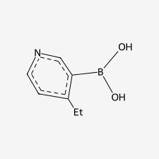 CCc1ccncc1B(O)O